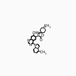 COc1cc2ncnc(N3C=CC4C(C)=CC=CC43)c2cc1N1CC2(CCN(C)CC2)OC1=O